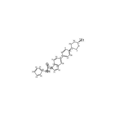 CC[C@H]1CC[C@@H](c2ccc(-c3ccc4c(ccn4C(=O)Nc4ccccc4)c3)cc2)CC1